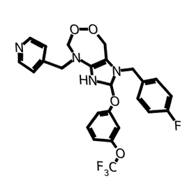 Fc1ccc(CN2C3=C(NC2Oc2cccc(OC(F)(F)F)c2)N(Cc2ccncc2)COOC3)cc1